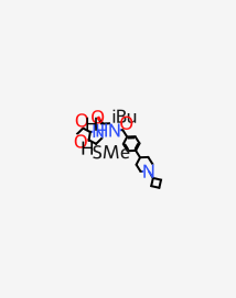 CC[C@H](C)[C@H](NC(=O)c1ccc(C2CCN(C3CCC3)CC2)cc1)C(=O)N1C[C@H](SC)[C@H]2OCC(=O)[C@H]21